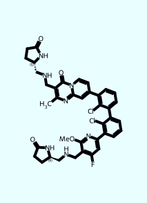 COc1nc(-c2cccc(-c3cccc(-c4ccn5c(=O)c(CNC[C@@H]6CCC(=O)N6)c(C)nc5c4)c3Cl)c2Cl)cc(F)c1CNC[C@H]1CCC(=O)N1